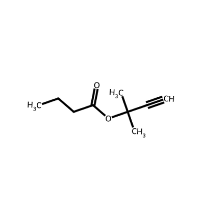 C#CC(C)(C)OC(=O)CCC